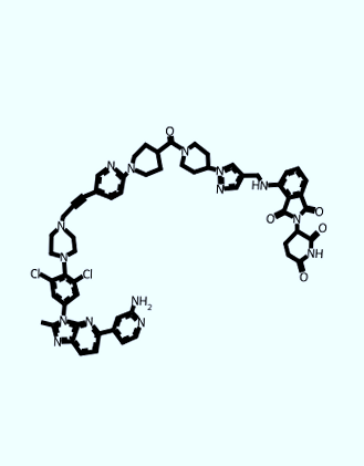 Cc1nc2ccc(-c3ccnc(N)c3)nc2n1-c1cc(Cl)c(N2CCN(CC#Cc3ccc(N4CCC(C(=O)N5CCC(n6cc(CNc7cccc8c7C(=O)N(C7CCC(=O)NC7=O)C8=O)cn6)CC5)CC4)nc3)CC2)c(Cl)c1